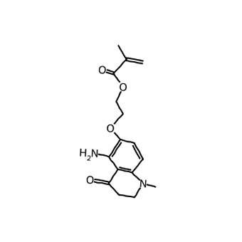 C=C(C)C(=O)OCCOc1ccc2c(c1N)C(=O)CCN2C